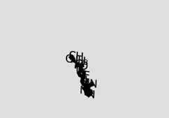 CC(=O)NC[C@H]1CN(c2ccc(N3CCC(C#N)(C(C#N)c4cccnc4)CC3)c(F)c2)C(=O)O1